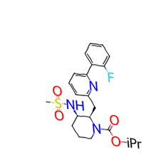 CC(C)OC(=O)N1CCC[C@@H](NS(C)(=O)=O)[C@H]1Cc1cccc(-c2ccccc2F)n1